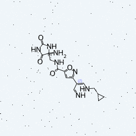 N=C/C(=C\NCC1CC1)c1cc(C(=O)NC[C@@]2(N)NC(=O)NC2=O)on1